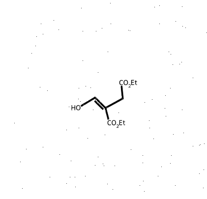 CCOC(=O)CC(=CO)C(=O)OCC